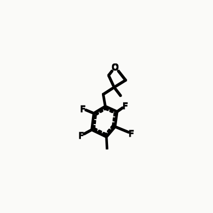 Cc1c(F)c(F)c(CC2(C)COC2)c(F)c1F